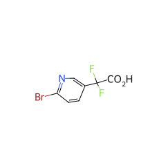 O=C(O)C(F)(F)c1ccc(Br)nc1